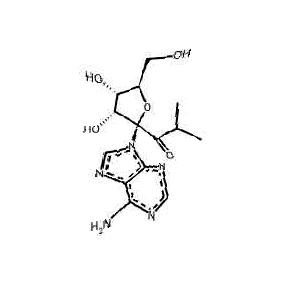 CC(C)C(=O)[C@@]1(n2cnc3c(N)ncnc32)O[C@H](CO)[C@@H](O)[C@H]1O